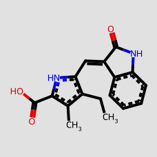 CCc1c(C=C2C(=O)Nc3ccccc32)[nH]c(C(=O)O)c1C